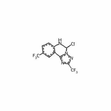 FC(F)(F)c1ccc2c(c1)-c1nc(C(F)(F)F)nn1C(Cl)N2